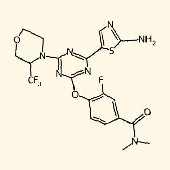 CN(C)C(=O)c1ccc(Oc2nc(-c3cnc(N)s3)nc(N3CCOCC3C(F)(F)F)n2)c(F)c1